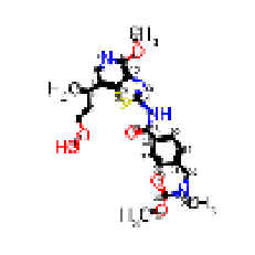 C=C(CCOO)c1cnc(OC)c2nc(NC(=O)c3ccc(CN(C)C(=O)OC)cc3)sc12